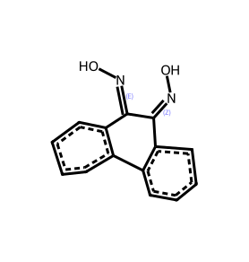 O/N=C1\C(=N\O)c2ccccc2-c2ccccc21